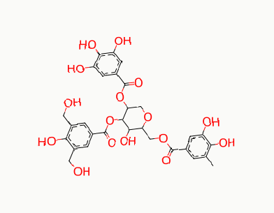 Cc1cc(C(=O)OCC2OCC(OC(=O)c3cc(O)c(O)c(O)c3)C(OC(=O)c3cc(CO)c(O)c(CO)c3)C2O)cc(O)c1O